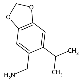 CC(C)c1cc2c(cc1CN)OCO2